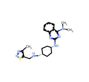 Cc1nnsc1CNC[C@H]1CC[C@@H](Nc2nc(N(C)C)c3ccccc3n2)CC1